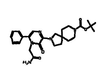 CC(C)(C)OC(=O)N1CCC2(CC1)CCN(c1ncc(-c3ccccc3)n(CC(N)=O)c1=O)C2